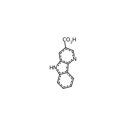 O=C(O)c1cnc2c(c1)[nH]c1ccccc12